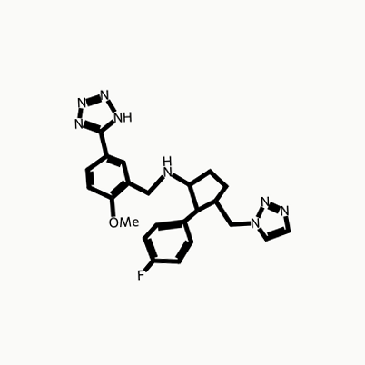 COc1ccc(-c2nnn[nH]2)cc1CNC1CCC(Cn2ccnn2)C1c1ccc(F)cc1